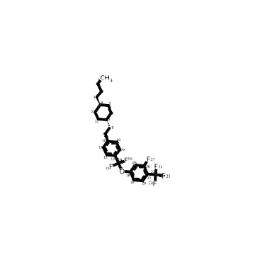 CCCC[C@H]1CC[C@H](CCc2ccc(C(F)(F)Oc3ccc(C(F)(F)F)c(F)c3)cc2)CC1